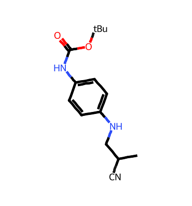 CC(C#N)CNc1ccc(NC(=O)OC(C)(C)C)cc1